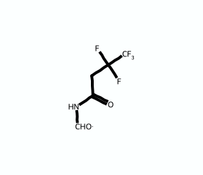 O=[C]NC(=O)CC(F)(F)C(F)(F)F